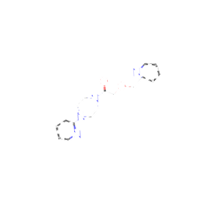 Cc1ccc(N2CCN(C(=O)COCc3ccccn3)CC2)nc1